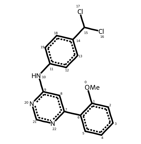 COc1ccccc1-c1cc(Nc2ccc(C(Cl)Cl)cc2)ncn1